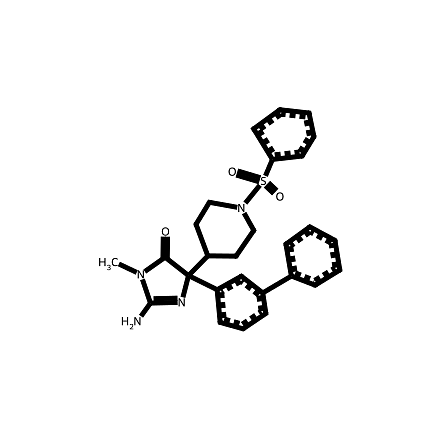 CN1C(=O)C(c2cccc(-c3ccccc3)c2)(C2CCN(S(=O)(=O)c3ccccc3)CC2)N=C1N